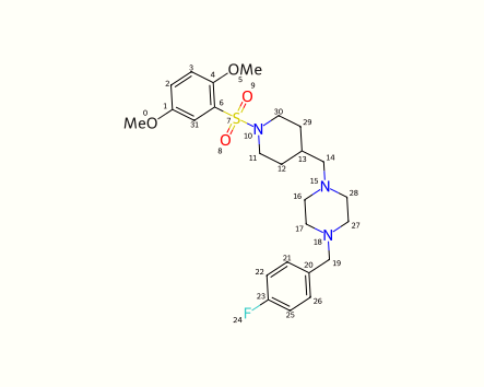 COc1ccc(OC)c(S(=O)(=O)N2CCC(CN3CCN(Cc4ccc(F)cc4)CC3)CC2)c1